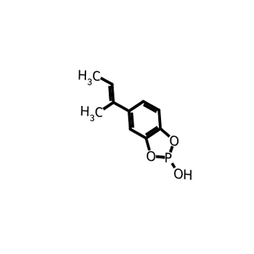 C/C=C(\C)c1ccc2c(c1)OP(O)O2